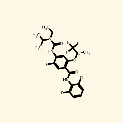 CCN(C(=O)Nc1cc(O[C@@H](C)C(F)(F)F)c(C(=O)Nc2c(F)cccc2Cl)cc1F)C(C)C